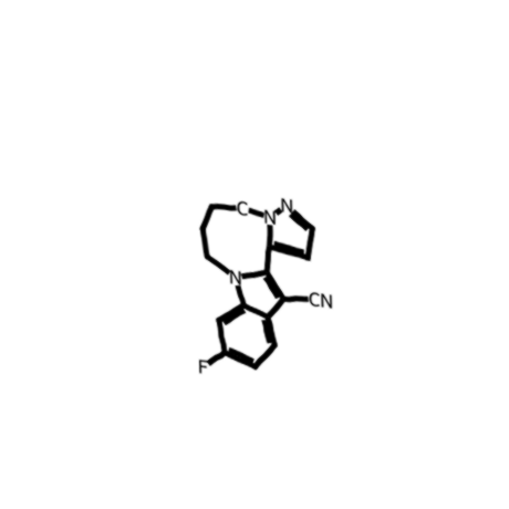 N#Cc1c2n(c3cc(F)ccc13)CCCCn1nccc1-2